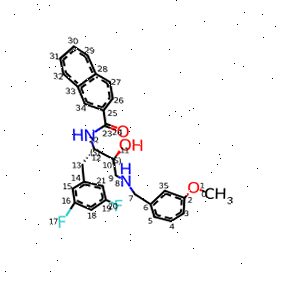 COc1cccc(CNC[C@H](O)[C@H](Cc2cc(F)cc(F)c2)NC(=O)c2ccc3ccccc3c2)c1